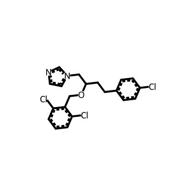 Clc1ccc(CCC(Cn2ccnc2)OCc2c(Cl)cccc2Cl)cc1